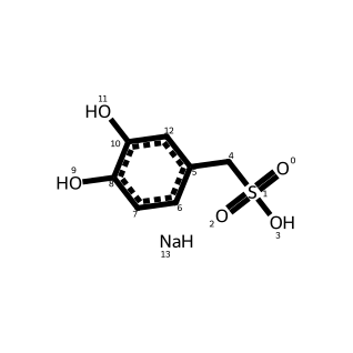 O=S(=O)(O)Cc1ccc(O)c(O)c1.[NaH]